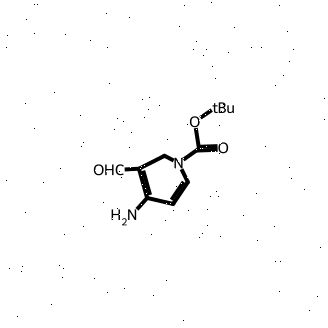 CC(C)(C)OC(=O)N1C=CC(N)=C(C=O)C1